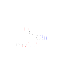 CC(C)(C)OC(=O)N[C@H]1C[C@H](Oc2cc(-c3ccc(O)cc3)cn3cncc23)C1